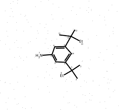 CCC(C)(C)c1cc(N)cc(C(C)(C)CC)c1